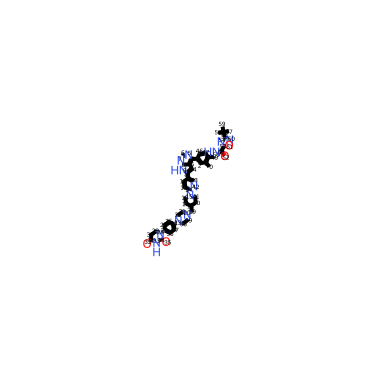 Cc1cc(-c2ncnc3[nH]c(-c4ccc(N5CCC(CN6CCN(c7ccc(N8CCC(=O)NC8=O)cc7)CC6)CC5)nc4)cc23)ccc1CNC(=O)c1nc(C(C)(C)C)no1